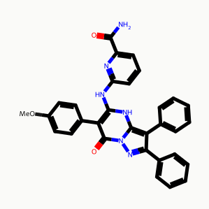 COc1ccc(-c2c(Nc3cccc(C(N)=O)n3)[nH]c3c(-c4ccccc4)c(-c4ccccc4)nn3c2=O)cc1